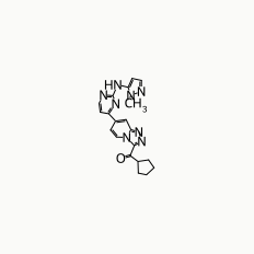 Cn1nccc1Nc1nccc(-c2ccn3c(C(=O)C4CCCC4)nnc3c2)n1